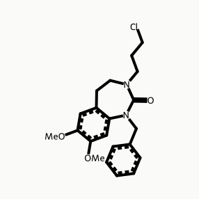 COc1cc2c(cc1OC)N(Cc1ccccc1)C(=O)N(CCCCl)CC2